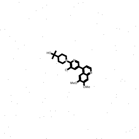 COc1cc2nccc(-c3cnc(N4CCC(C(C)(C)O)CC4)c(Cl)c3)c2cc1OC